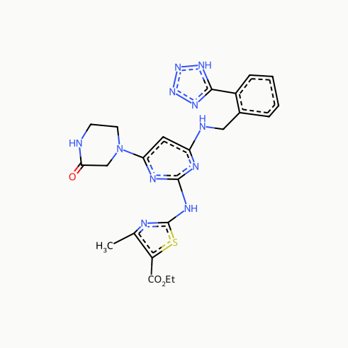 CCOC(=O)c1sc(Nc2nc(NCc3ccccc3-c3nnn[nH]3)cc(N3CCNC(=O)C3)n2)nc1C